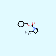 CC1CC=CN1C(=O)OCC1CCCCC1